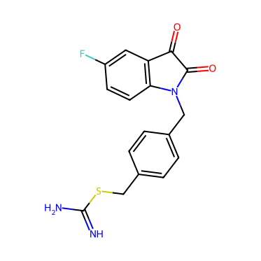 N=C(N)SCc1ccc(CN2C(=O)C(=O)c3cc(F)ccc32)cc1